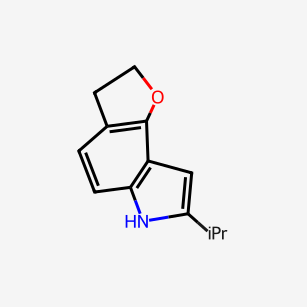 CC(C)c1cc2c3c(ccc2[nH]1)CCO3